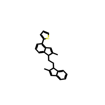 CC1=Cc2ccccc2C1CCC1C(C)=Cc2c(-c3cccs3)cccc21